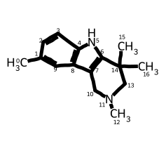 Cc1ccc2[nH]c3c(c2c1)CN(C)CC3(C)C